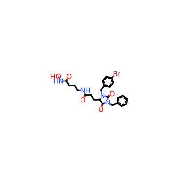 O=C(CCCNC(=O)CCC1C(=O)N(Cc2ccccc2)C(=O)N1Cc1ccc(Br)cc1)NO